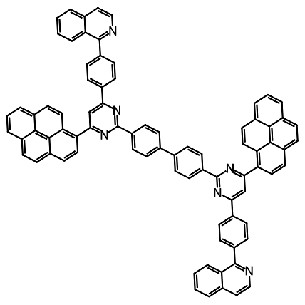 c1ccc2c(-c3ccc(-c4cc(-c5ccc6ccc7cccc8ccc5c6c78)nc(-c5ccc(-c6ccc(-c7nc(-c8ccc(-c9nccc%10ccccc9%10)cc8)cc(-c8ccc9ccc%10cccc%11ccc8c9c%10%11)n7)cc6)cc5)n4)cc3)nccc2c1